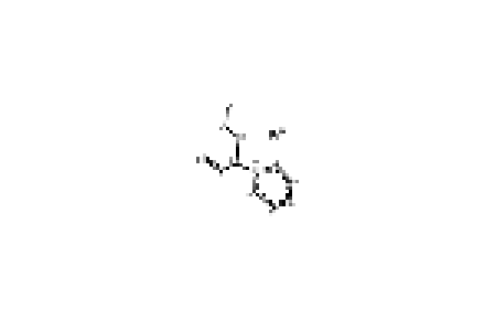 C=CC(CCC)[n+]1ccccc1.[Br-]